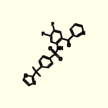 CC(C)(c1ccc(S(=O)(=O)Nc2cc(F)c(F)cc2C(=O)c2cccnc2)cc1)c1ncco1